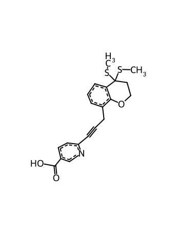 CSC1(SC)CCOc2c(CC#Cc3ccc(C(=O)O)cn3)cccc21